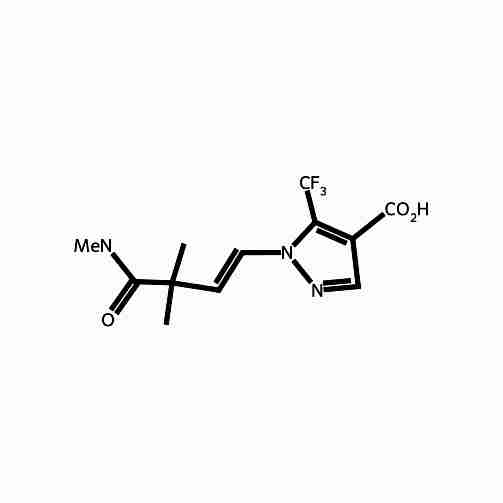 CNC(=O)C(C)(C)/C=C/n1ncc(C(=O)O)c1C(F)(F)F